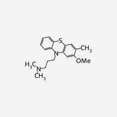 COc1cc2c(cc1C)Sc1ccccc1N2CCCN(C)C